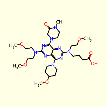 COCCN(CCOC)c1nc(N2CCN(C)C(=O)C2)c2nc(N(CCCC(=O)O)CCOC)nc(N3CCC(OC)CC3)c2n1